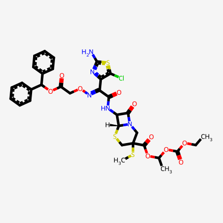 CCOC(=O)OC(C)OC(=O)C1(SC)CS[C@@H]2C(NC(=O)C(=NOCC(=O)OC(c3ccccc3)c3ccccc3)c3nc(N)sc3Cl)C(=O)N2C1